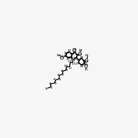 CCCCCCCCCCCCCCn1c(-c2ccc(OC)c(OC)c2)c(OC)c(=O)c2ccc(OC)cc21